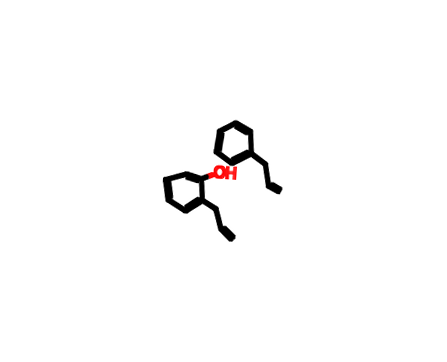 C=CCc1ccccc1.C=CCc1ccccc1O